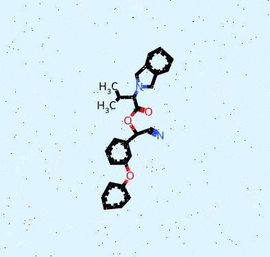 CC(C)C(C(=O)OC(C#N)c1cccc(Oc2ccccc2)c1)N1Cc2ccccc2C1